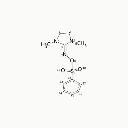 CN1CCN(C)C1=NOS(=O)(=O)c1ccccc1